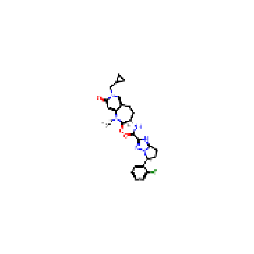 CN1C(=O)[C@@H](NC(=O)c2nc3n(n2)[C@H](c2ccccc2F)CC3)CCc2cn(CC3CC3)c(=O)cc21